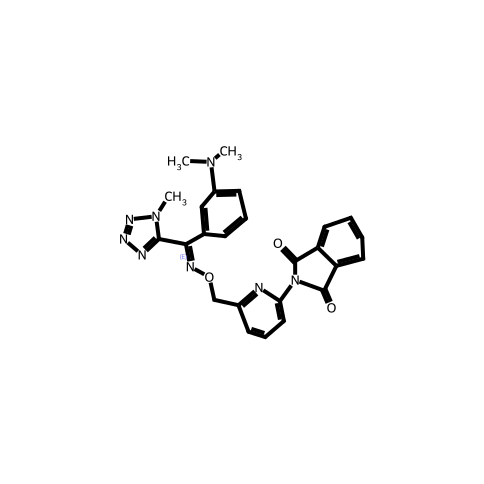 CN(C)c1cccc(/C(=N\OCc2cccc(N3C(=O)c4ccccc4C3=O)n2)c2nnnn2C)c1